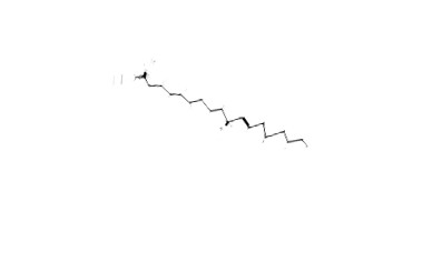 CCCCCC/C=C/C(=O)CCCCCCCCC(=O)O